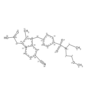 CCN(CCOC)S(=O)(=O)c1ccc(Cc2c(C)c(CC(=O)O)n3ccc(C#N)cc23)cc1